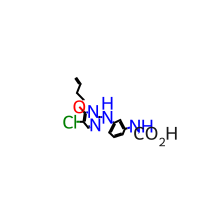 C=CCCOc1nc(Nc2cccc(NC(=O)O)c2)ncc1Cl